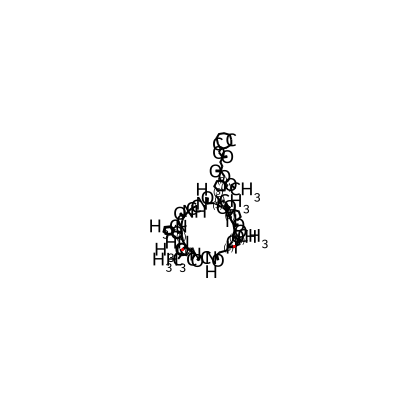 CO[C@@H]1C[C@H](C[C@@H](C)[C@@H]2CC(=O)NCCNC(=O)CN(C)C(=O)[C@H](Cc3ccccc3)NC(=O)[C@H](CC(C)C)N(C)C(=O)CNC(=O)CC[C@@H]3CC[C@@H](C)[C@@](O)(O3)C(=O)C(=O)N3CCCC[C@H]3C(=O)O2)CC[C@H]1OC(=O)CCC(=O)OC1CCCCCCCC1